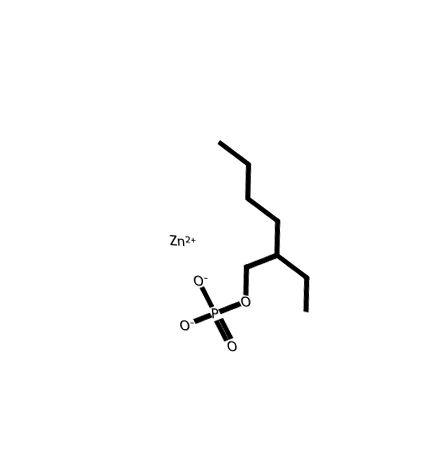 CCCCC(CC)COP(=O)([O-])[O-].[Zn+2]